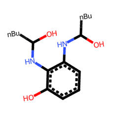 CCCCC(O)Nc1cccc(O)c1NC(O)CCCC